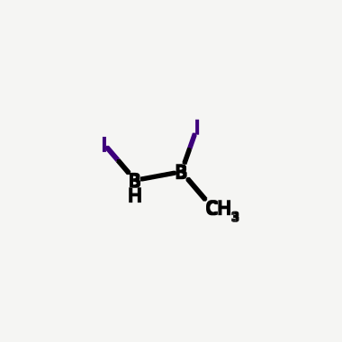 CB(I)BI